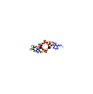 Nc1ncnc2c1ncn2[C@@H]1O[C@@H]2COP(=O)(S)OC3C(O)[C@@H](COP(=O)(S)OC2C1O)O[C@H]3n1c(Cl)nc2cc(Cl)c(Cl)cc21